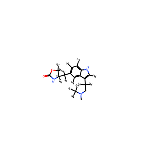 [2H]c1[nH]c2c([2H])c([2H])c(C([2H])([2H])[C@]3([2H])NC(=O)OC3([2H])[2H])c([2H])c2c1C([2H])([2H])CN(C)C([2H])([2H])[2H]